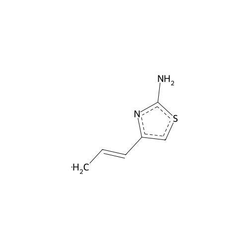 [CH2]C=Cc1csc(N)n1